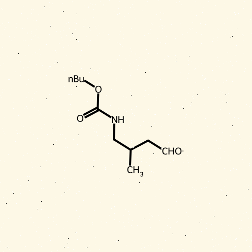 CCCCOC(=O)NCC(C)C[C]=O